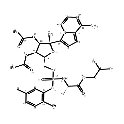 CCC(CC)COC(=O)[C@H](C)NP(=O)(OC[C@H]1O[C@@](C#N)(c2ccc3c(N)ncnn23)[C@H](OC(=O)C(C)C)[C@@H]1OC(=O)C(C)C)Oc1cc(C)ccc1C(C)C